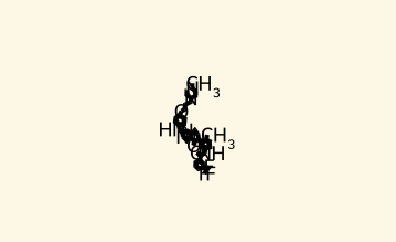 Cc1ccc(NC(=O)c2cccc(C(F)(F)F)c2)cc1N1CCc2nc(Nc3ccc(OCCCN4CCN(C)CC4)cc3)ncc2C1=O